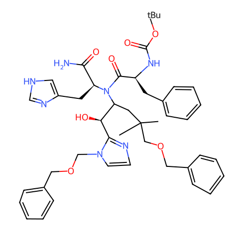 CC(C)(COCc1ccccc1)CC([C@H](O)c1nccn1COCc1ccccc1)N(C(=O)[C@H](Cc1ccccc1)NC(=O)OC(C)(C)C)[C@@H](Cc1c[nH]cn1)C(N)=O